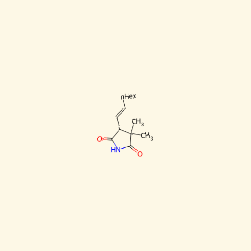 CCCCCCC=CC1C(=O)NC(=O)C1(C)C